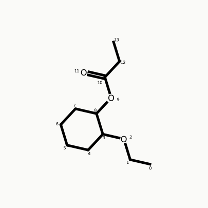 CCOC1CCCCC1OC(=O)CC